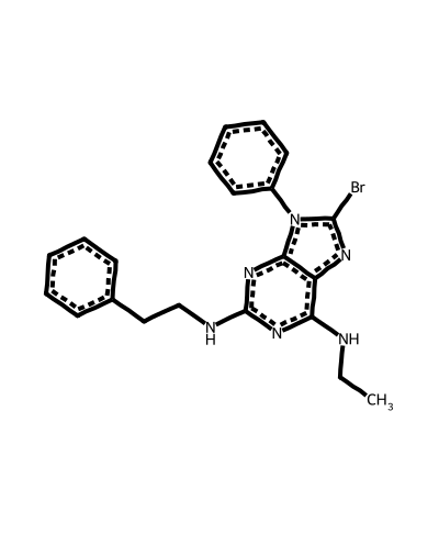 CCNc1nc(NCCc2ccccc2)nc2c1nc(Br)n2-c1ccccc1